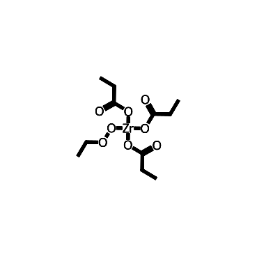 CCO[O][Zr]([O]C(=O)CC)([O]C(=O)CC)[O]C(=O)CC